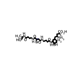 CC(CO)NC(=O)CCCNC(=O)/C(Br)=C/C(=O)NCCCC(=O)Nc1cc(C[C@H](N)CC(C)C(=O)O)ccc1O